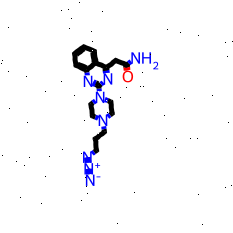 [N-]=[N+]=NCCCN1CCN(c2nc(CC(N)=O)c3ccccc3n2)CC1